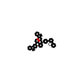 CC1(C)c2ccccc2-c2cc(-c3ccccc3-c3ccccc3N(c3ccc(-c4cccc5c4oc4ccccc45)cc3)c3ccc4c(c3)C(C)(C)c3ccccc3-4)ccc21